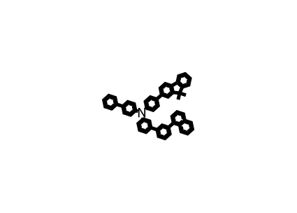 CC1(C)c2ccccc2-c2ccc(-c3ccc(N(c4ccc(-c5ccccc5)cc4)c4cccc(-c5cccc(-c6cccc7ccccc67)c5)c4)cc3)cc21